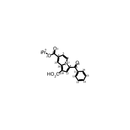 CC(C)OC(=O)c1ccn2c(C(=O)c3ccccc3)cc(C(=O)O)c2c1